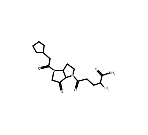 CC(C[CH]C(=O)N1CCC2C1C(=O)CN2C(=O)CC1CCCC1)C(N)=O